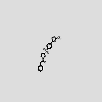 O=C(Cc1ccccc1)N1CC[C@@H](S(=O)(=O)c2ccc(-c3noc(C(F)(F)F)n3)cc2)C1